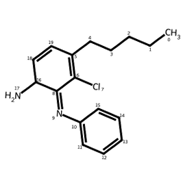 CCCCCC1=C(Cl)C(=Nc2ccccc2)C(N)C=C1